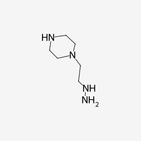 NNCCN1CCNCC1